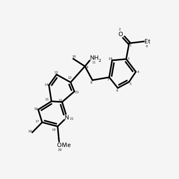 CCC(=O)c1cccc(CC(C)(N)c2ccc3cc(C)c(OC)nc3c2)c1